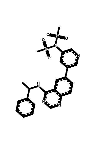 CC(Nc1ncnc2ccc(-c3cncc(N(S(C)(=O)=O)S(C)(=O)=O)c3)cc12)c1ccccc1